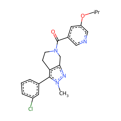 CC(C)Oc1cncc(C(=O)N2CCc3c(nn(C)c3-c3cccc(Cl)c3)C2)c1